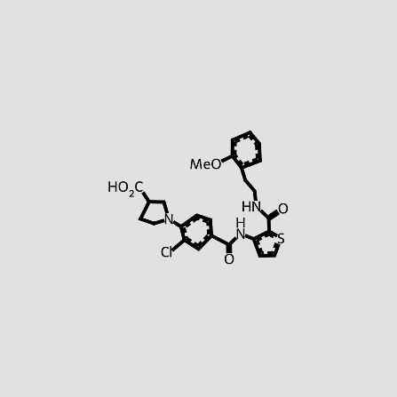 COc1ccccc1CCNC(=O)c1sccc1NC(=O)c1ccc(N2CCC(C(=O)O)C2)c(Cl)c1